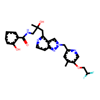 Cc1cc(Cn2cc3c(CC(C)(O)CNC(=O)c4ccccc4O)nccc3n2)ncc1OCC(F)F